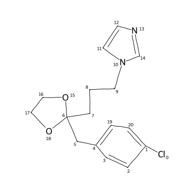 Clc1ccc(CC2(CCCn3ccnc3)OCCO2)cc1